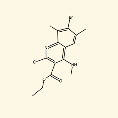 CCOC(=O)c1c(Cl)nc2c(F)c(Br)c(C)cc2c1NC